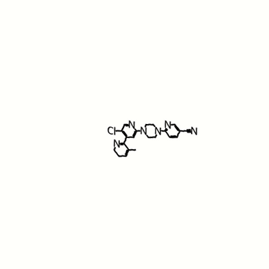 CC1=CCCN=C1c1cc(N2CCN(c3ccc(C#N)cn3)CC2)ncc1Cl